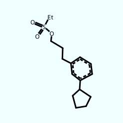 CCS(=O)(=O)OCCCc1cccc(C2CCCC2)c1